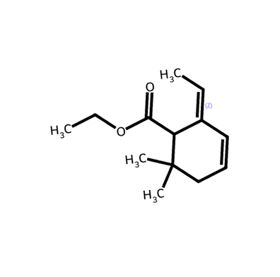 C/C=C1/C=CCC(C)(C)C1C(=O)OCC